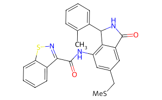 CSCc1cc(NC(=O)c2nsc3ccccc23)c2c(c1)C(=O)NC2c1ccccc1C